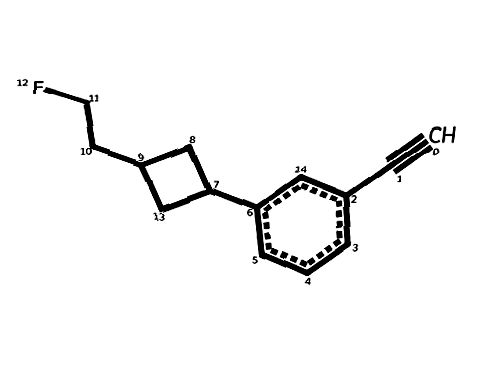 C#Cc1cccc(C2CC(CCF)C2)c1